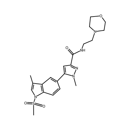 Cc1cn(S(C)(=O)=O)c2ccc(-c3cc(C(=O)NCCN4CCOCC4)nn3C)cc12